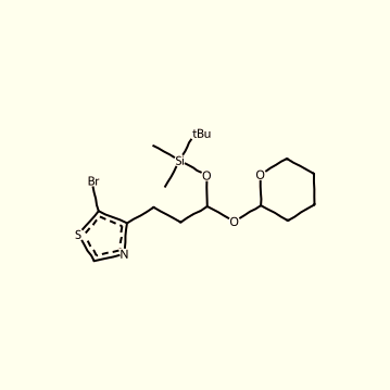 CC(C)(C)[Si](C)(C)OC(CCc1ncsc1Br)OC1CCCCO1